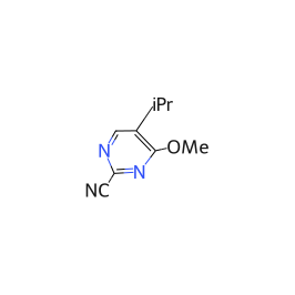 COc1nc(C#N)ncc1C(C)C